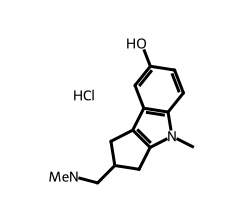 CNCC1Cc2c(n(C)c3ccc(O)cc23)C1.Cl